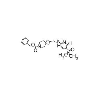 CN(C)C(=O)c1ccc(NCCC2CC3(CCN(C(=O)OCc4ccccc4)CC3)C2)nc1Cl